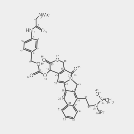 CNCC(=O)Nc1ccc(COC(=O)OC2C(=O)OCc3c2cc2n(c3=O)Cc3c-2nc2ccccc2c3CCN(C(C)C)[S+](C)[O-])cc1